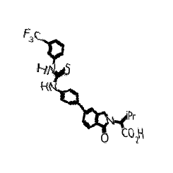 CC(C)C(C(=O)O)N1Cc2cc(-c3ccc(NC(=S)Nc4cccc(C(F)(F)F)c4)cc3)ccc2C1=O